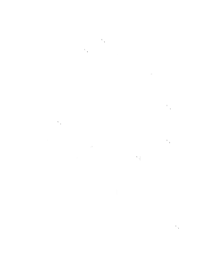 Bc1c(-c2cnn(C)c2)cc(O[C@H](C)CN(C)C)c2c(Nc3ccc4ncccc4c3F)ncnc12